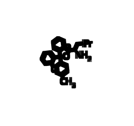 Cc1ccc(C(OC(=O)[C@@H](N)CC(C)C)(c2ccccc2)c2ccccc2Cl)cc1